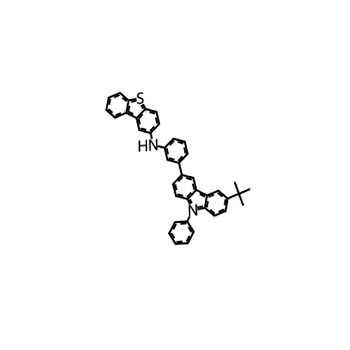 CC(C)(C)c1ccc2c(c1)c1cc(-c3cccc(Nc4ccc5sc6ccccc6c5c4)c3)ccc1n2-c1ccccc1